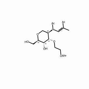 COCCO[C@@H]1[C@H](O)[C@@H](CO)OC[C@H]1N(/C=C(/C)C(C)=O)C(C)=O